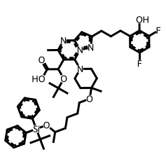 Cc1nc2cc(CCCc3cc(F)cc(F)c3O)nn2c(N2CCC(C)(OCCCCC(C)O[Si](c3ccccc3)(c3ccccc3)C(C)(C)C)CC2)c1C(OC(C)(C)C)C(=O)O